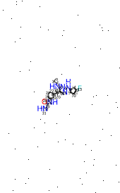 CCCNc1nc(Nc2cccc(F)c2)ncc1C(C)(C)[C@@H]1CCC[C@H](NC(=O)CNC)C1